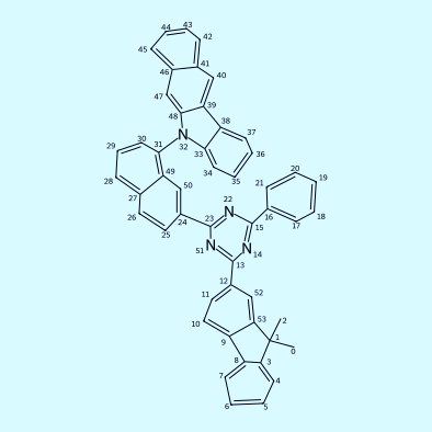 CC1(C)c2ccccc2-c2ccc(-c3nc(-c4ccccc4)nc(-c4ccc5cccc(-n6c7ccccc7c7cc8ccccc8cc76)c5c4)n3)cc21